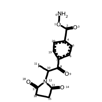 NOC(=O)c1ccc(C(=O)C(I)N2C(=O)CCC2=O)cc1